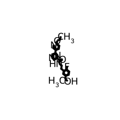 CCOc1ccc(-c2cncc(C(=O)NCCc3cc(C(C)O)ccc3F)n2)cn1